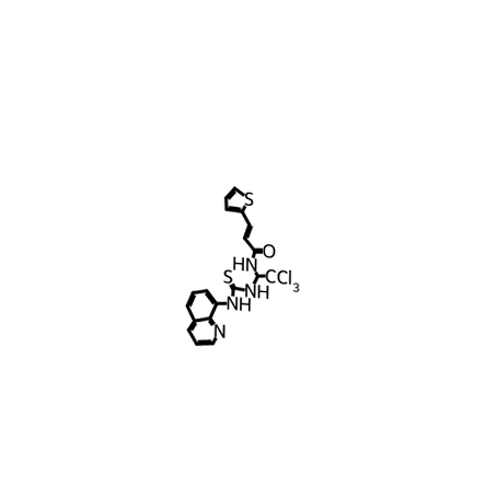 O=C(/C=C/c1cccs1)NC(NC(=S)Nc1cccc2cccnc12)C(Cl)(Cl)Cl